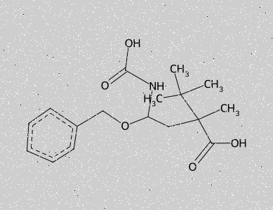 CC(C)(C)C(C)(CC(NC(=O)O)OCc1ccccc1)C(=O)O